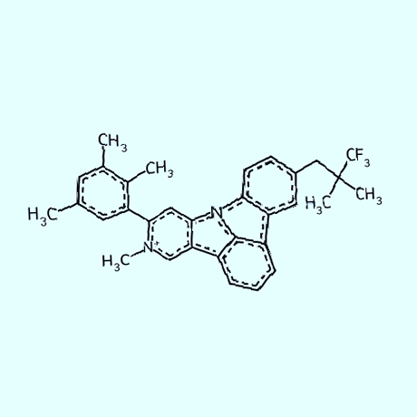 Cc1cc(C)c(C)c(-c2cc3c(c[n+]2C)c2cccc4c5cc(CC(C)(C)C(F)(F)F)ccc5n3c42)c1